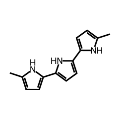 Cc1ccc(-c2ccc(-c3ccc(C)[nH]3)[nH]2)[nH]1